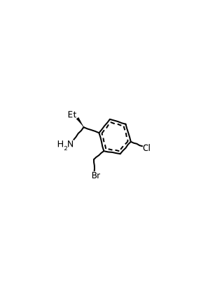 CC[C@H](N)c1ccc(Cl)cc1CBr